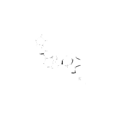 CC[N+]1(CC(=O)Nc2c(C)cccc2C(=O)OC)CCCC(C(=O)OC2CCCC2)C1